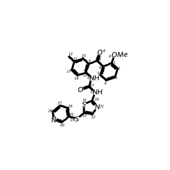 COc1ccccc1C(=O)c1cc(C)ccc1NC(=O)Nc1ncc(Sc2cccnc2)s1